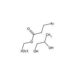 CC(O)CO.CCCCCCCCCOC(=O)CCC(C)=O